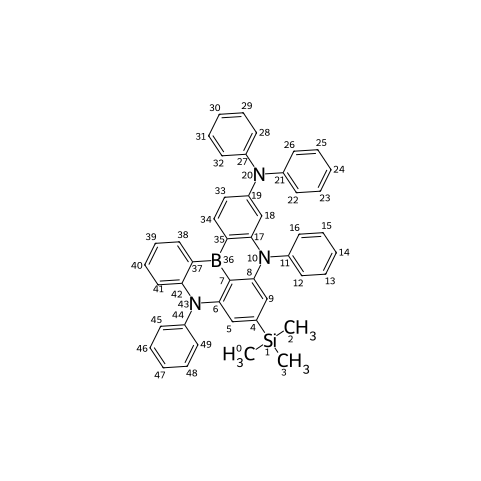 C[Si](C)(C)c1cc2c3c(c1)N(c1ccccc1)c1cc(N(c4ccccc4)c4ccccc4)ccc1B3c1ccccc1N2c1ccccc1